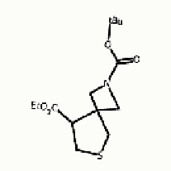 CCOC(=O)C1CSCC12CN(C(=O)OC(C)(C)C)C2